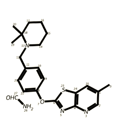 Cc1cnc2nc(Oc3ccc(CN4CCCCC4(C)C)cc3)sc2c1.NC=O